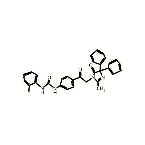 CC1=NC(c2ccccc2)(c2ccccc2)C(=O)N1CC(=O)c1ccc(NC(=O)Nc2ccccc2F)cc1